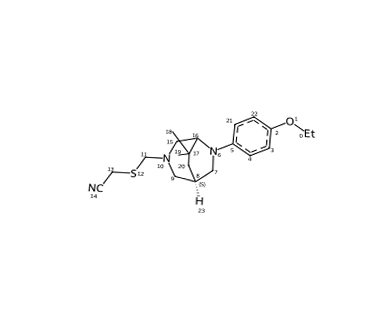 CCOc1ccc(N2C[C@H]3CN(CSCC#N)CC2C(C)(C)C3)cc1